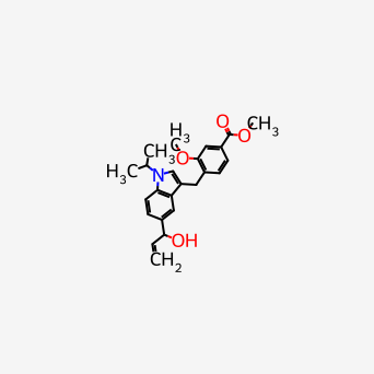 C=CC(O)c1ccc2c(c1)c(Cc1ccc(C(=O)OC)cc1OC)cn2C(C)C